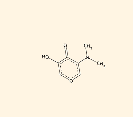 CN(C)c1cocc(O)c1=O